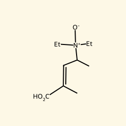 CC[N+]([O-])(CC)C(C)C=C(C)C(=O)O